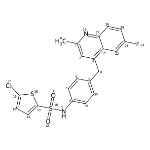 Cc1cc(Cc2ccc(NS(=O)(=O)c3ccc(Cl)s3)cc2)c2cc(F)ccc2n1